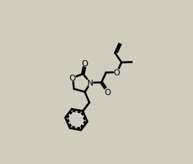 C=CC(C)OCC(=O)N1C(=O)OCC1Cc1ccccc1